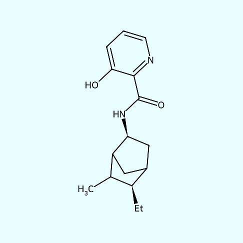 CC[C@@H]1C2CC(C1C)[C@@H](NC(=O)c1ncccc1O)C2